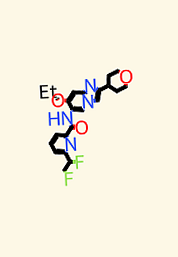 CCOc1cc2nc(C3CCOCC3)cn2cc1NC(=O)c1cccc(C(F)CF)n1